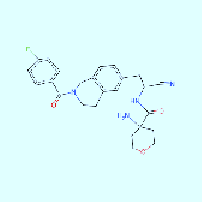 N#CC(Cc1ccc2c(c1)CCN(C(=O)c1ccc(F)cc1)C2)NC(=O)C1(N)CCOCC1